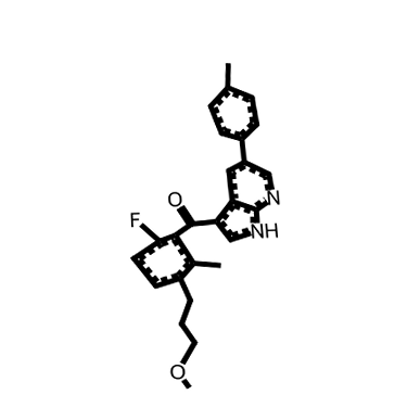 COCCCc1ccc(F)c(C(=O)c2c[nH]c3ncc(-c4ccc(C)cc4)cc23)c1C